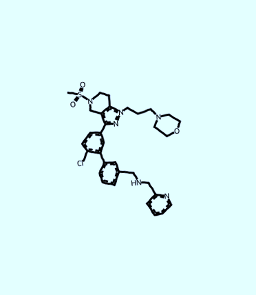 CS(=O)(=O)N1CCc2c(c(-c3ccc(Cl)c(-c4cccc(CNCc5ccccn5)c4)c3)nn2CCCN2CCOCC2)C1